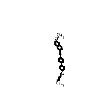 CCCCCCOc1ccc(-c2ccc(C#Cc3ccc4cc(OCC)ccc4c3)cc2)cc1